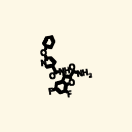 NC(=O)c1oc2c(F)cc(F)cc2c1NC(=O)c1ccc(Oc2ccccc2)nc1